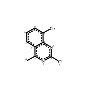 Cc1nc(Cl)nc2c(Cl)cccc12